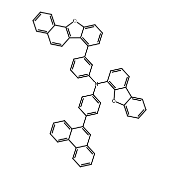 c1cc(-c2cccc3oc4c5ccccc5ccc4c23)cc(N(c2ccc(-c3cc4ccccc4c4ccccc34)cc2)c2cccc3c2oc2ccccc23)c1